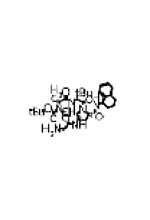 C[C@@H](C(=O)N[C@H](C(=O)N1C[C@@H](NC(=O)CN)C[C@H]1C(=O)NC1CCCc2ccccc21)C(C)(C)C)N(C)C(=O)OC(C)(C)C